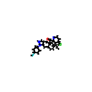 C[C@H]1CCC2=Cc3c(cnn3-c3ccc(F)cc3)C[C@]2(C(=O)c2cc(Cl)ccn2)C1